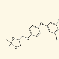 CC1(C)OCC(COc2ccc(Oc3cc(F)cc(F)c3)cc2)O1